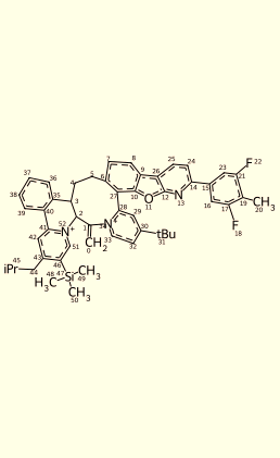 C=C1C2C(CCc3ccc4c(oc5nc(-c6cc(F)c(C)c(F)c6)ccc54)c3-c3cc(C(C)(C)C)cc[n+]31)c1ccccc1-c1cc(CC(C)C)c([Si](C)(C)C)c[n+]12